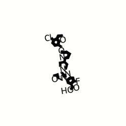 O=C(O)c1cc2c(cc1F)nc(CN1CCC(c3cccc(OCc4ccc(Cl)c5ccoc45)n3)CC1)n2C[C@@H]1CCO1